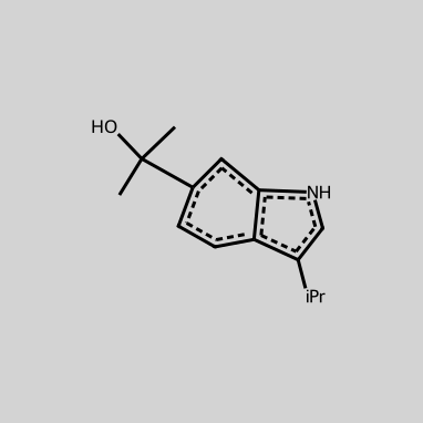 CC(C)c1c[nH]c2cc(C(C)(C)O)ccc12